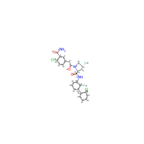 NC(=O)c1cc(CC(=O)N2C[C@H](F)C[C@H]2C(=O)Nc2cccc(-c3ccccc3Cl)c2F)ccc1Cl